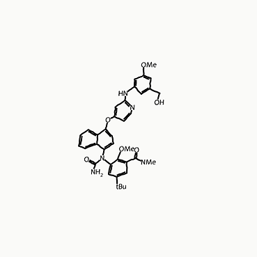 CNC(=O)c1cc(C(C)(C)C)cc(N(C(N)=O)c2ccc(Oc3ccnc(Nc4cc(CO)cc(OC)c4)c3)c3ccccc23)c1OC